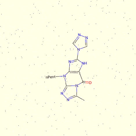 CCCCCn1c2nc(-n3cnnc3)[nH]c2c(=O)n2c(C)nnc12